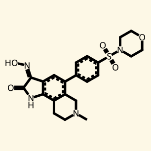 CN1CCc2c(c(-c3ccc(S(=O)(=O)N4CCOCC4)cc3)cc3c2NC(=O)C3=NO)C1